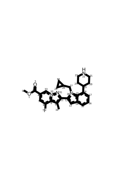 COC(=O)c1cc(F)c2c(C)c(-c3cc4cccc(C5CCNCC5)c4n3CC3CC3)nn2c1